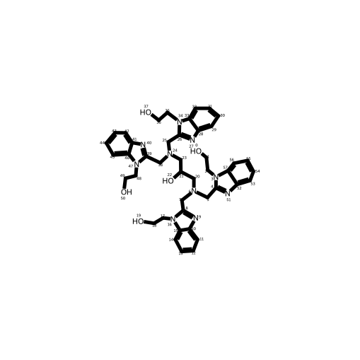 OCCn1c(CN(Cc2nc3ccccc3n2CCO)CC(O)CN(Cc2nc3ccccc3n2CCO)Cc2nc3ccccc3n2CCO)nc2ccccc21